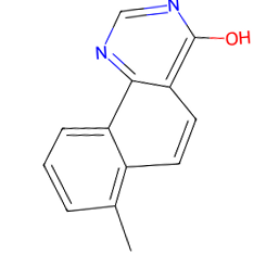 Cc1cccc2c1ccc1c(O)ncnc12